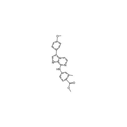 COC(=O)c1ccc(Nc2nccn3c(-c4ccc(OC)cc4)cnc23)cc1C